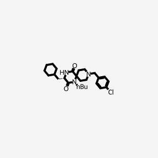 CCCCN1C(=O)[C@H](CC2CCCCC2)NC(=O)C12CCN(Cc1ccc(Cl)cc1)CC2